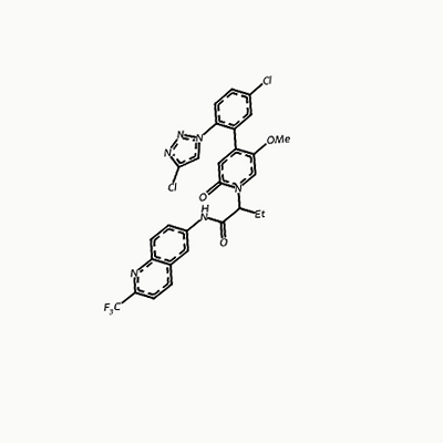 CCC(C(=O)Nc1ccc2nc(C(F)(F)F)ccc2c1)n1cc(OC)c(-c2cc(Cl)ccc2-n2cc(Cl)nn2)cc1=O